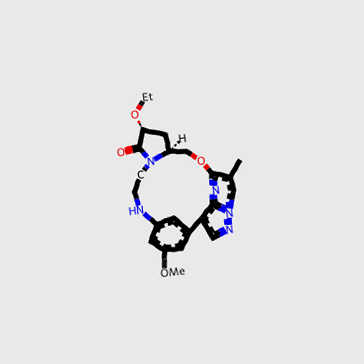 CCO[C@@H]1C[C@H]2COc3nc4c(cnn4cc3C)-c3cc(cc(OC)c3)NCCN2C1=O